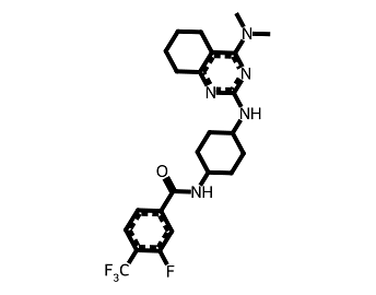 CN(C)c1nc(NC2CCC(NC(=O)c3ccc(C(F)(F)F)c(F)c3)CC2)nc2c1CCCC2